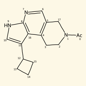 CC(=O)N1CCc2c(cnc3[nH]cc(C4CCC4)c23)C1